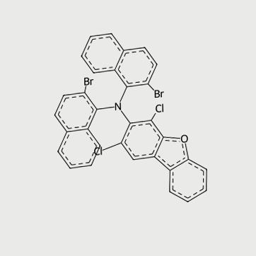 Clc1cc2c(oc3ccccc32)c(Cl)c1N(c1c(Br)ccc2ccccc12)c1c(Br)ccc2ccccc12